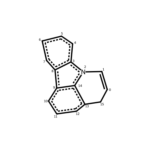 C1=Cn2c3ccccc3c3cccc(c32)C1